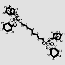 O=P(OCCCCCCCCOP(=O)(Oc1ccccc1)OC1CN2CCC1CC2)(Oc1ccccc1)OC1CN2CCC1CC2